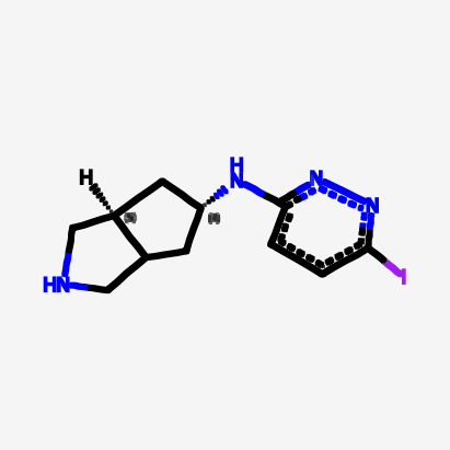 Ic1ccc(N[C@@H]2CC3CNC[C@H]3C2)nn1